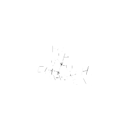 CC[C@@]1(C)OC(O)[C@@H]2OC(C)(C)O[C@@H]21